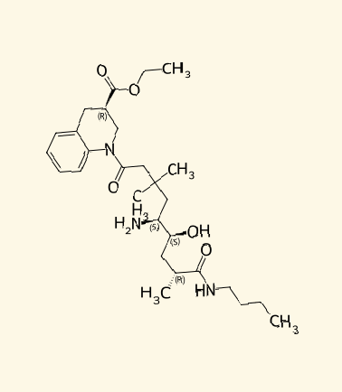 CCCCNC(=O)[C@H](C)C[C@H](O)[C@@H](N)CC(C)(C)CC(=O)N1C[C@H](C(=O)OCC)Cc2ccccc21